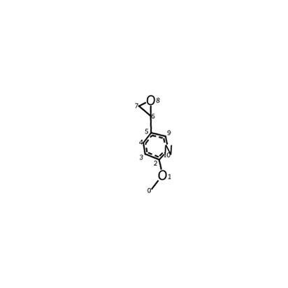 COc1ccc(C2CO2)cn1